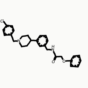 O=C(COc1ccccc1)NCc1cccc(C2CCN(Cc3ccc(Cl)cc3)CC2)c1